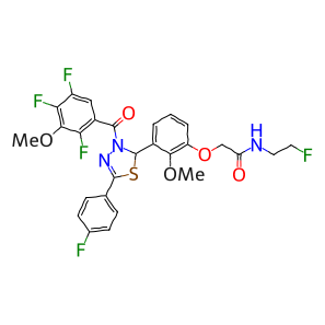 COc1c(OCC(=O)NCCF)cccc1C1SC(c2ccc(F)cc2)=NN1C(=O)c1cc(F)c(F)c(OC)c1F